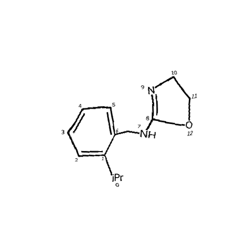 CC(C)c1ccccc1NC1=NCCO1